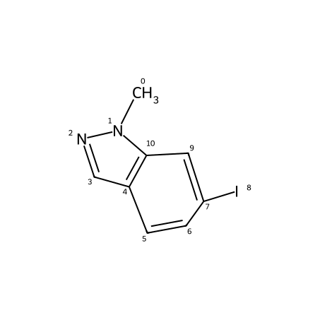 Cn1ncc2ccc(I)cc21